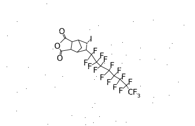 O=C1OC(=O)C2C3CC(C(I)C3C(F)(F)C(F)(F)C(F)(F)C(F)(F)C(F)(F)C(F)(F)C(F)(F)C(F)(F)F)C12